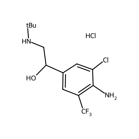 CC(C)(C)NCC(O)c1cc(Cl)c(N)c(C(F)(F)F)c1.Cl